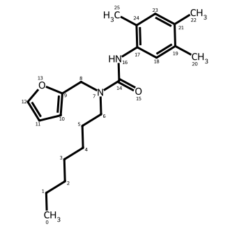 CCCCCCCN(Cc1ccco1)C(=O)Nc1cc(C)c(C)cc1C